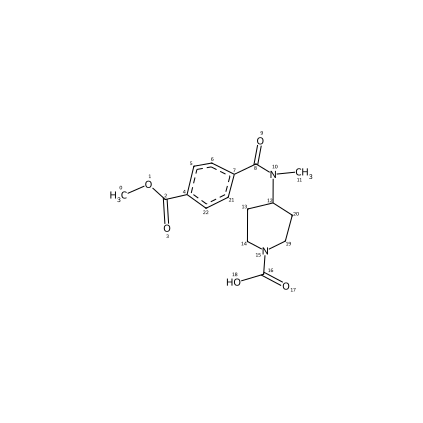 COC(=O)c1ccc(C(=O)N(C)C2CCN(C(=O)O)CC2)cc1